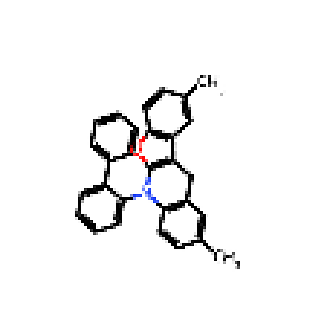 Cc1ccc2c(c1)Cc1c(oc3ccc(C)cc13)N2c1ccccc1-c1ccccc1